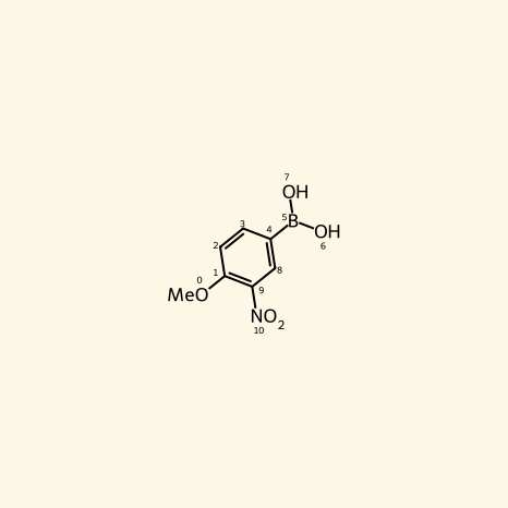 COc1ccc(B(O)O)cc1[N+](=O)[O-]